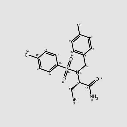 Cc1ccc(CN([C@H](CC(C)C)C(N)=O)S(=O)(=O)c2ccc(Cl)cc2)cc1